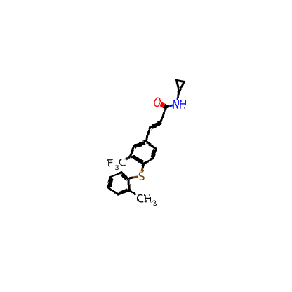 Cc1ccccc1Sc1ccc(C=CC(=O)NC2CC2)cc1C(F)(F)F